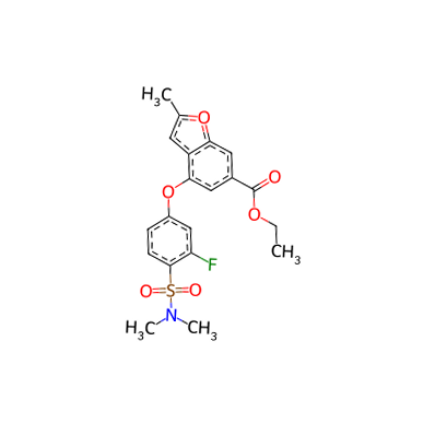 CCOC(=O)c1cc(Oc2ccc(S(=O)(=O)N(C)C)c(F)c2)c2cc(C)oc2c1